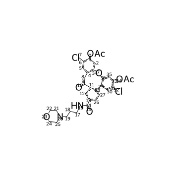 CC(=O)Oc1cc2c(cc1Cl)CC(=O)c1cc(C(=O)NCCCN3CCOCC3)ccc1-c1cc(Cl)c(OC(C)=O)cc1O2